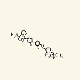 CC(C)(F)CN1CCC(COc2ccc(-c3ccc(C(=O)N4CCCC[C@@H]4C(N)=O)cc3F)cc2F)CC1